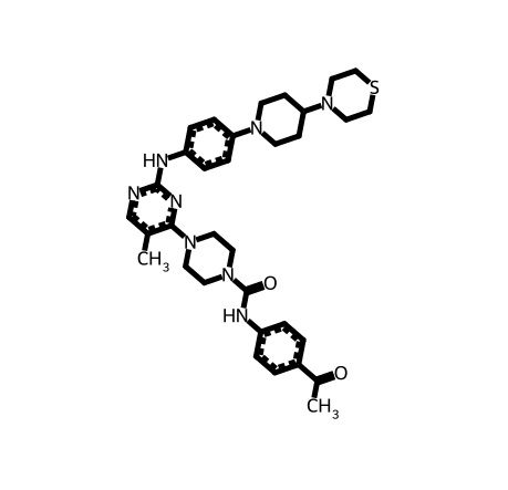 CC(=O)c1ccc(NC(=O)N2CCN(c3nc(Nc4ccc(N5CCC(N6CCSCC6)CC5)cc4)ncc3C)CC2)cc1